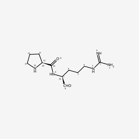 N=C(N)NCCC[C@@H]([C]=O)NC(=O)[C@@H]1CCCN1